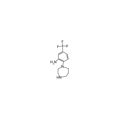 Nc1cc(C(F)(F)F)ccc1N1CCCNCC1